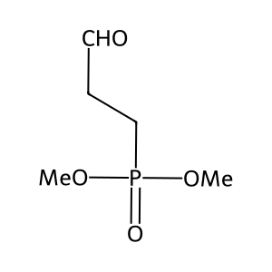 COP(=O)(CCC=O)OC